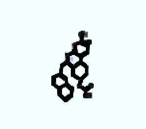 O=C(O)CO/N=C(/Cc1ccc2ccccc2c1)C1CN(OC(=O)O)CCC1c1ccc(F)cc1